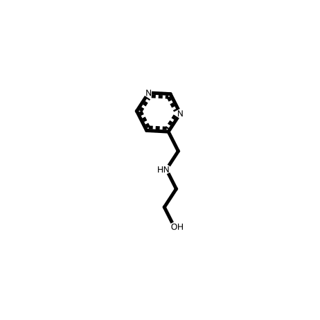 OCCNCc1ccncn1